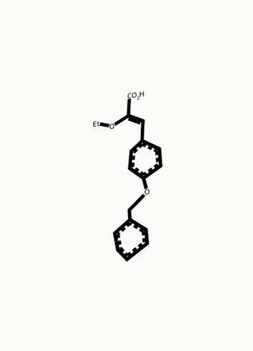 CCO/C(=C\c1ccc(OCc2ccccc2)cc1)C(=O)O